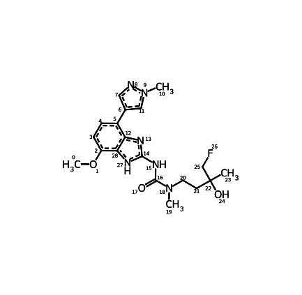 COc1ccc(-c2cnn(C)c2)c2nc(NC(=O)N(C)CCC(C)(O)CF)[nH]c12